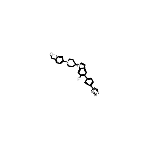 CCc1ccc(N2CCC(n3ccc4cc(-c5ccc(-n6cnnn6)cc5)c(F)cc43)CC2)cc1